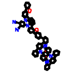 N#Cc1cc(-n2c3ccccc3c3c4oc5ccccc5c4ccc32)c(-n2c3ccccc3c3c4oc5cc(-c6cccc7c6c6ccc8c9ccccc9n(-c9cc(C#N)c(-n%10c%11ccccc%11c%11ccc%12c%13ccccc%13n(-c%13ccccc%13)c%12c%11%10)cc9C#N)c8c6n7-c6ccccc6)ccc5c4ccc32)cc1C#N